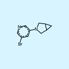 Brc1cncc(N2CC3CC3C2)c1